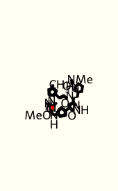 CNC(=O)N1CCCC(C[C@H](NC(=O)/C=C/c2cc(C)ccc2-n2cnnn2)c2cc(-c3ccc(NC(=O)OC)cc3)c(=O)[nH]n2)C1